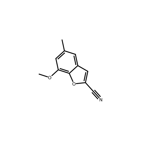 COc1cc(C)cc2cc(C#N)oc12